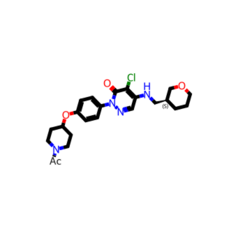 CC(=O)N1CCC(Oc2ccc(-n3ncc(NC[C@@H]4CCCOC4)c(Cl)c3=O)cc2)CC1